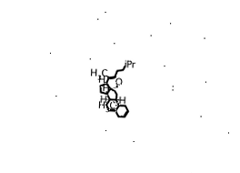 CC1=C(CCC(C)C)OC[C@]23CC[C@H]4[C@@H](CC=C5CC=CC[C@@]54C)[C@@H]2CC[C@H]13